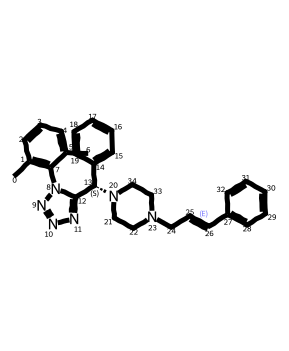 Cc1cccc(C)c1-n1nnnc1[C@H](c1ccccc1)N1CCN(C/C=C/c2ccccc2)CC1